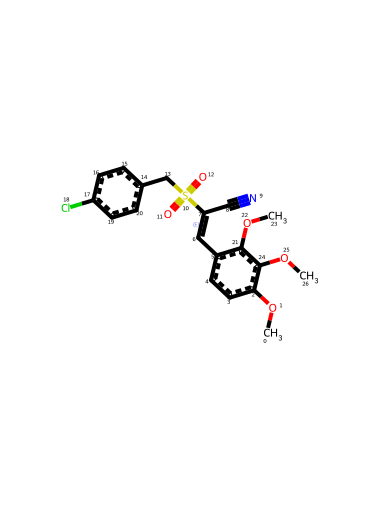 COc1ccc(/C=C(\C#N)S(=O)(=O)Cc2ccc(Cl)cc2)c(OC)c1OC